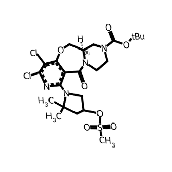 CC(C)(C)OC(=O)N1CCN2C(=O)c3c(N4CC(OS(C)(=O)=O)CC4(C)C)nc(Cl)c(Cl)c3OC[C@H]2C1